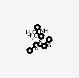 CC1(C)c2ccccc2Nc2ccc(-n3c4ccc(-c5ccccc5)nc4c4ccc5sc6ccccc6c5c43)cc21